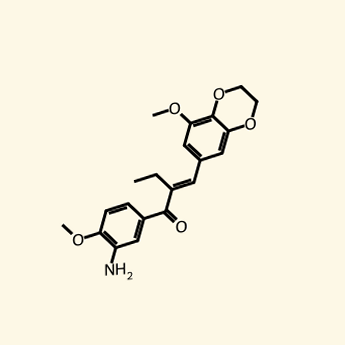 CC/C(=C\c1cc(OC)c2c(c1)OCCO2)C(=O)c1ccc(OC)c(N)c1